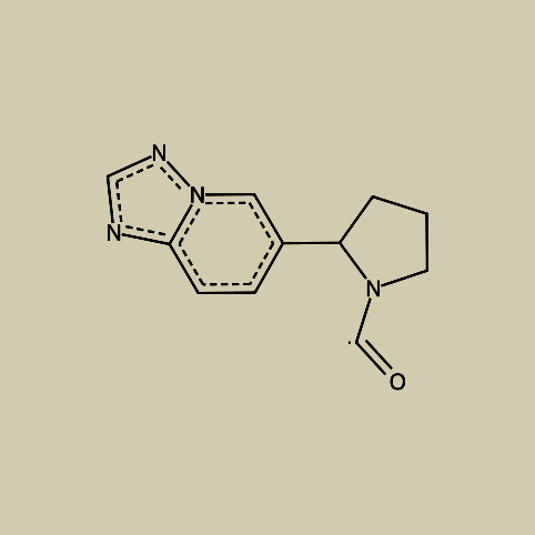 O=[C]N1CCCC1c1ccc2ncnn2c1